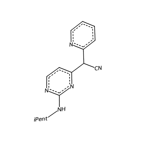 CCCC(C)Nc1nccc(C(C#N)c2ccccn2)n1